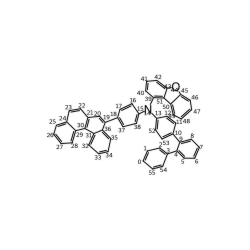 c1ccc(-c2ccccc2-c2ccc(N(c3ccc(-c4cc5ccc6ccccc6c5c5ccccc45)cc3)c3cccc4oc5ccccc5c34)cc2)cc1